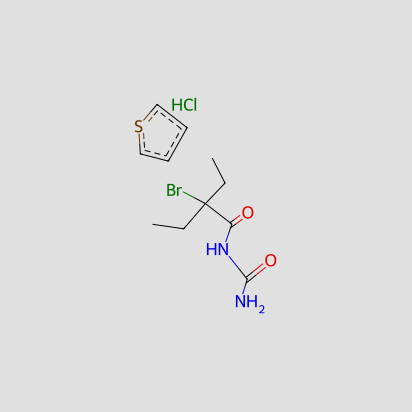 CCC(Br)(CC)C(=O)NC(N)=O.Cl.c1ccsc1